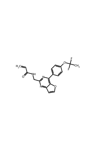 C=CC(=O)NCc1nc(-c2ccc(OC(C)(F)F)cc2)c2occc2n1